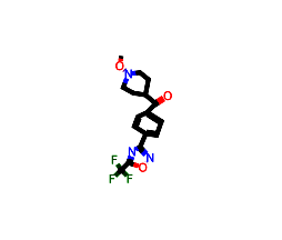 CON1CCC(C(=O)c2ccc(-c3noc(C(F)(F)F)n3)cc2)CC1